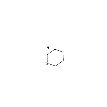 C1CCSCC1.[H+]